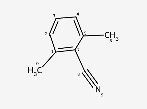 Cc1[c]ccc(C)c1C#N